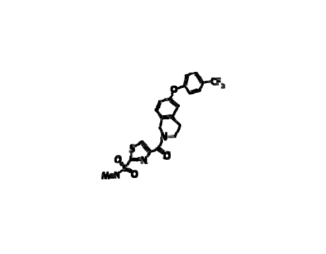 CNS(=O)(=O)c1nc(C(=O)N2CCc3cc(Oc4ccc(C(F)(F)F)cc4)ccc3C2)cs1